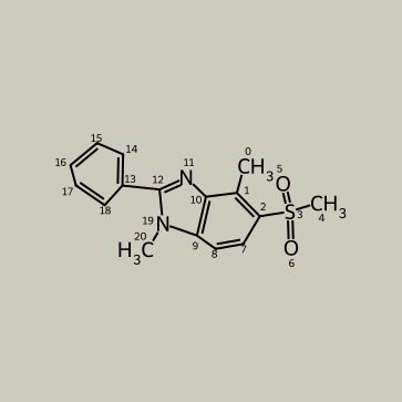 Cc1c(S(C)(=O)=O)ccc2c1nc(-c1ccccc1)n2C